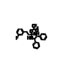 O=C(OC1(CCc2cccc(F)c2)NC(c2ccccc2)C(c2ccccc2)N1)C(F)(F)F